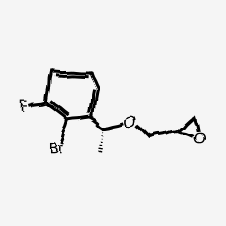 C[C@@H](OCC1CO1)c1cccc(F)c1Br